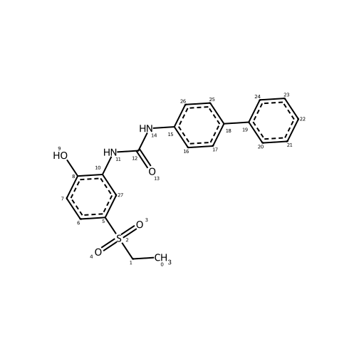 CCS(=O)(=O)c1ccc(O)c(NC(=O)Nc2ccc(-c3ccccc3)cc2)c1